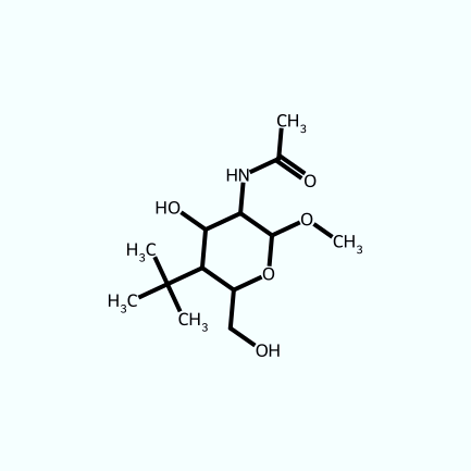 COC1OC(CO)C(C(C)(C)C)C(O)C1NC(C)=O